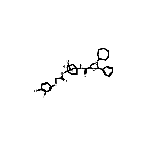 O=C(COc1ccc(Cl)c(F)c1)NC12CCC(NC(=O)C3CN(C4CCCCCC4)C(c4ccccc4)O3)(CC1)C[C@@H]2O